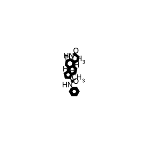 C[C@]12CCC(=O)N[C@@H]1CC[C@@H]1[C@@H]2CC[C@]2(C)[C@@H](C(=O)Nc3ccccc3)CC[C@@H]12